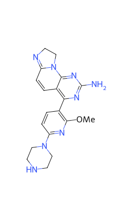 COc1nc(N2CCNCC2)ccc1-c1nc(N)nc2c1C=CC1=NCCN12